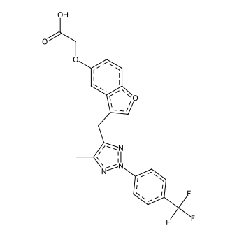 Cc1nn(-c2ccc(C(F)(F)F)cc2)nc1Cc1coc2ccc(OCC(=O)O)cc12